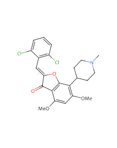 COc1cc(OC)c(C2CCN(C)CC2)c2c1C(=O)/C(=C/c1c(Cl)cccc1Cl)O2